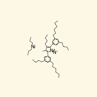 CCCCCCc1cc(CCCC)cc(C2=C(C)C(CCCC)=C(c3cc(CCCC)cc(CCCCCC)c3)[N+]2=[N-])c1.CC[CH2][Ni][CH2]CC